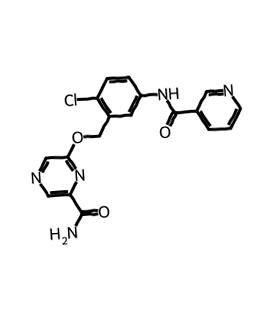 NC(=O)c1cncc(OCc2cc(NC(=O)c3cccnc3)ccc2Cl)n1